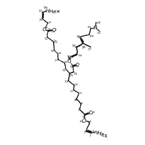 CCCCCC/C=C\COC(=O)CCCCCCCC(CCCCCCCC(=O)OC/C=C\CCCCCC)CC(=O)O/N=C/C/C(C)=C/CCN(C)C